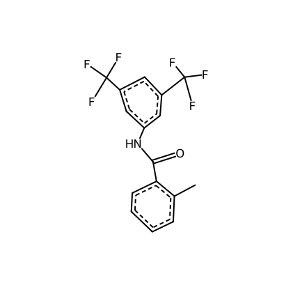 Cc1ccccc1C(=O)Nc1cc(C(F)(F)F)cc(C(F)(F)F)c1